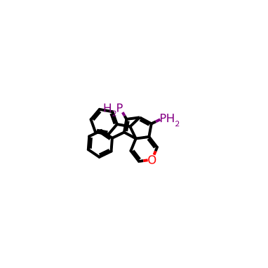 PC1=C2C(P)=C(c3ccccc3)C3(C=COC=C13)C2c1ccccc1